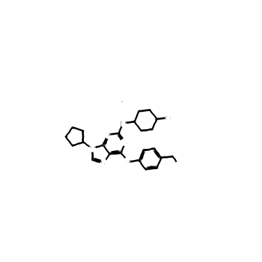 CCOC(=O)Cc1ccc(Nc2nc(NC3CCC(N)CC3)nc3c2ncn3C2CCCC2)cc1.Cl.Cl